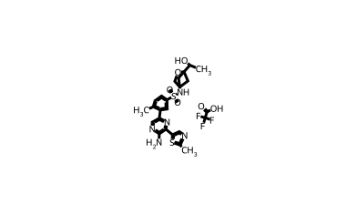 Cc1ncc(-c2nc(-c3cc(S(=O)(=O)NC45COC(C(C)O)(C4)C5)ccc3C)cnc2N)s1.O=C(O)C(F)(F)F